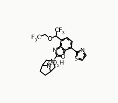 O=C(O)N1C2CCC1CN(c1nc3c(C(OCC(F)(F)F)C(F)(F)F)ccc(-c4nccs4)c3o1)C2